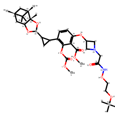 CC(C)(C)OC(=O)Oc1c(C2CC2B2OC3C[C@@H]4C[C@@H](C4(C)C)[C@]3(C)O2)ccc(OC2CN(CC(=O)NOCCO[Si](C)(C)C(C)(C)C)C2)c1C(=O)OC(C)(C)C